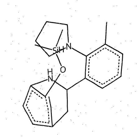 Cc1cccc(C2Cc3ccc(c(O[SiH](C)C)c3)N2)c1N1CCCC1